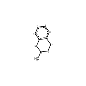 OC1C[CH]c2ccccc2C1